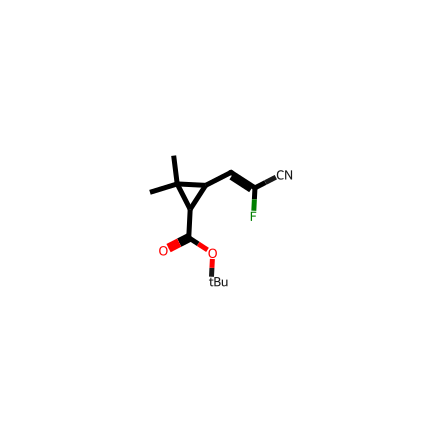 CC(C)(C)OC(=O)C1C(C=C(F)C#N)C1(C)C